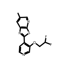 Cc1cnc2sc(-c3ccncc3OCC(F)F)nc2c1